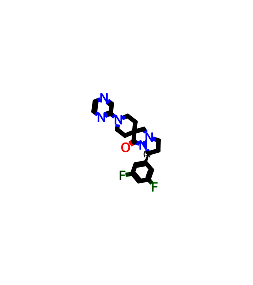 O=C1N2[C@H](c3cc(F)cc(F)c3)CCN2CC12CCN(c1cnccn1)CC2